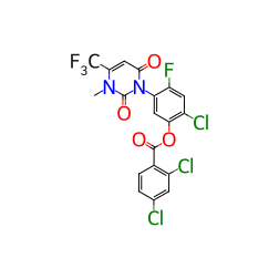 Cn1c(C(F)(F)F)cc(=O)n(-c2cc(OC(=O)c3ccc(Cl)cc3Cl)c(Cl)cc2F)c1=O